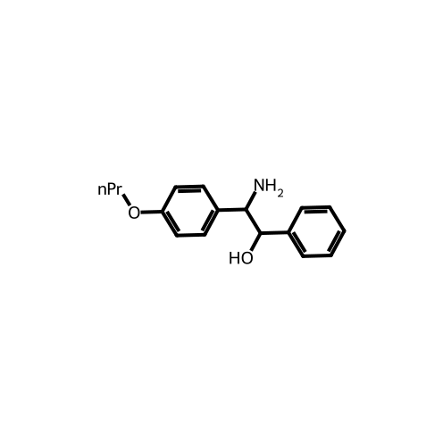 CCCOc1ccc(C(N)C(O)c2ccccc2)cc1